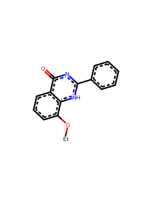 CCOc1cccc2c(=O)nc(-c3ccccc3)[nH]c12